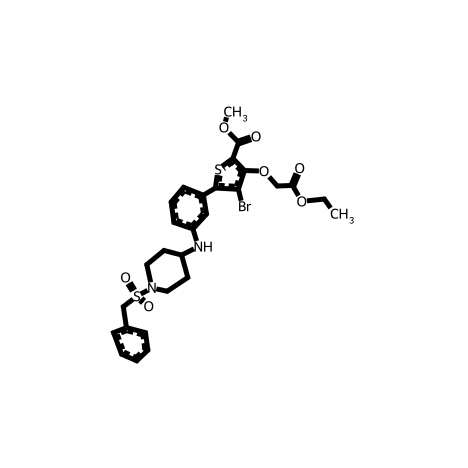 CCOC(=O)COc1c(C(=O)OC)sc(-c2cccc(NC3CCN(S(=O)(=O)Cc4ccccc4)CC3)c2)c1Br